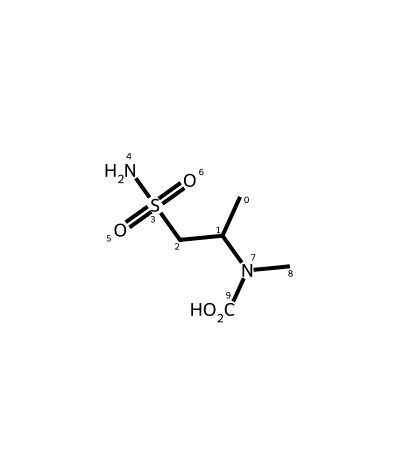 CC(CS(N)(=O)=O)N(C)C(=O)O